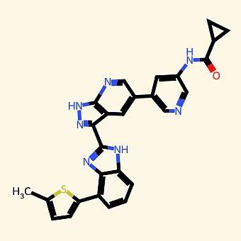 Cc1ccc(-c2cccc3[nH]c(-c4n[nH]c5ncc(-c6cncc(NC(=O)C7CC7)c6)cc45)nc23)s1